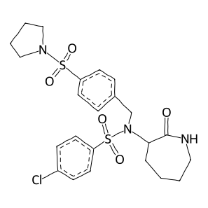 O=C1NCCCCC1N(Cc1ccc(S(=O)(=O)N2CCCC2)cc1)S(=O)(=O)c1ccc(Cl)cc1